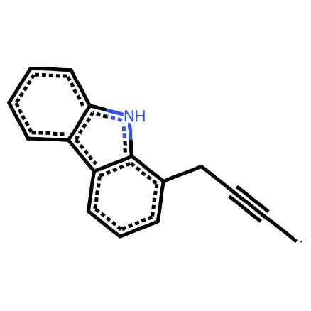 [CH2]C#CCc1cccc2c1[nH]c1ccccc12